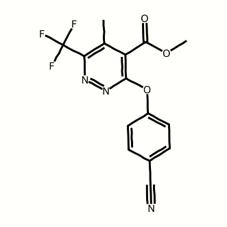 COC(=O)c1c(Oc2ccc(C#N)cc2)nnc(C(F)(F)F)c1C